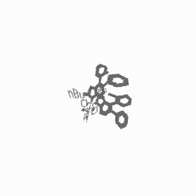 CCCCC1=Cc2c(ccc(-c3ccccc3)c2-c2ccccc2C)[CH]1[Zr]([Cl])([Cl])([CH]1C(CCCC)=Cc2c1ccc(-c1ccccc1)c2-c1ccccc1C)[SiH](C)C